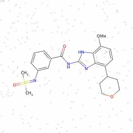 COc1ccc(C2CCOCC2)c2nc(NC(=O)c3cccc(N=S(C)(C)=O)c3)[nH]c12